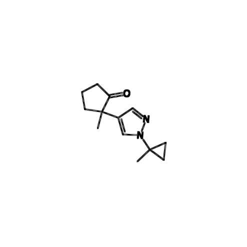 CC1(c2cnn(C3(C)CC3)c2)CCCC1=O